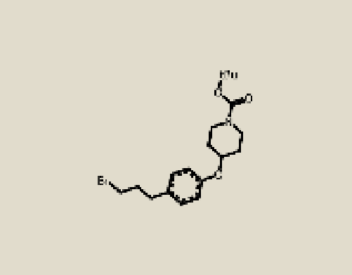 CC(C)(C)OC(=O)N1CCC(Oc2ccc(CCCBr)cc2)CC1